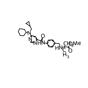 COC(=O)C(C)(C)NCc1ccc(NC(=O)c2cc(N(CC3CC3)C3CCCCC3)ncn2)cc1